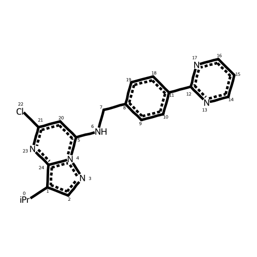 CC(C)c1cnn2c(NCc3ccc(-c4ncccn4)cc3)cc(Cl)nc12